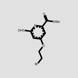 COC(=O)c1cc(OCCBr)cc(C=O)n1